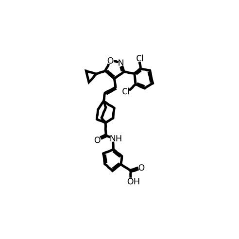 O=C(O)c1cccc(NC(=O)C23CCC(C=Cc4c(-c5c(Cl)cccc5Cl)noc4C4CC4)(CC2)CC3)c1